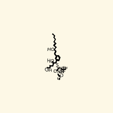 CCCCCC=CCC(O)C=Cc1cccc(C(SC[C@H](NC(=O)C(F)(F)F)C(=O)NCC(=O)OC)C(O)CCCCO)c1